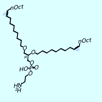 [2H]NCCOP(=O)(O)OC[C@@H](COCCCCCCCC/C=C\CCCCCCCC)OCCCCCCCC/C=C\CCCCCCCC